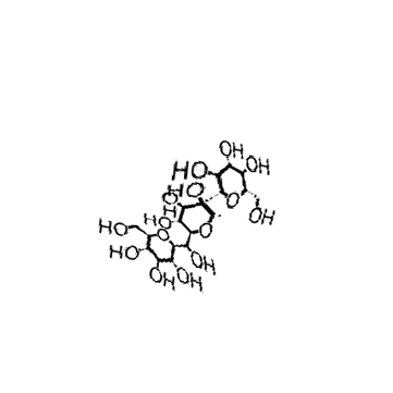 OC[C@@H]1O[C@H](C2(O)[CH]O[C@@H](C(O)[C@@H]3O[C@H](CO)[C@@H](O)[C@H](O)[C@H]3O)[C@H](O)[C@H]2O)[C@@H](O)[C@H](O)[C@H]1O